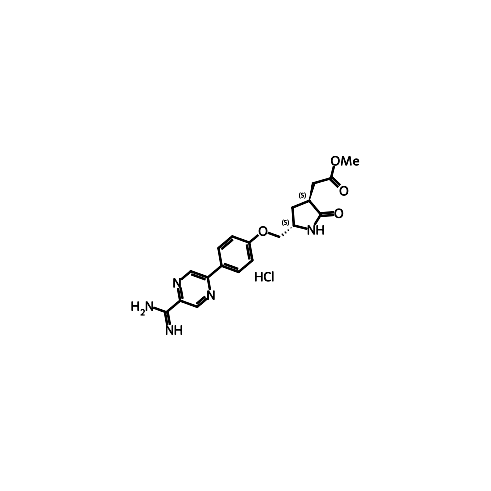 COC(=O)C[C@@H]1C[C@@H](COc2ccc(-c3cnc(C(=N)N)cn3)cc2)NC1=O.Cl